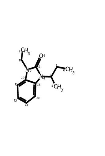 CCC(C)n1c(=O)n(CC)c2ccccc21